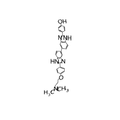 CN(C)CCCOc1ccc(-c2nc3cc(-c4ccc5[nH]c(-c6ccc(O)cc6)nc5c4)ccc3[nH]2)cc1